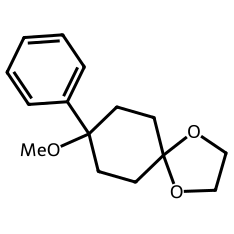 COC1(c2ccccc2)CCC2(CC1)OCCO2